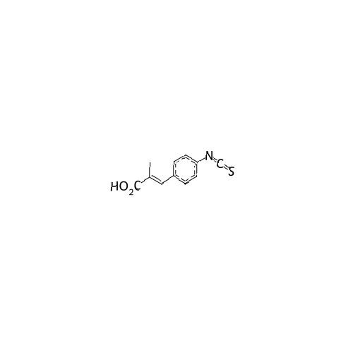 CC(=Cc1ccc(N=C=S)cc1)C(=O)O